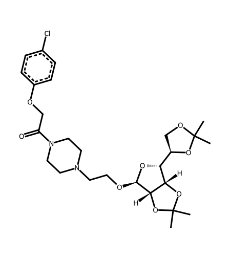 CC1(C)O[C@@H]2[C@H](O1)[C@@H](OCCN1CCN(C(=O)COc3ccc(Cl)cc3)CC1)O[C@@H]2[C@H]1COC(C)(C)O1